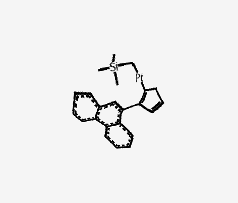 C[Si](C)(C)[CH2][Pt][C]1=C(c2cc3ccccc3c3ccccc23)C=CC1